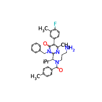 Cc1ccc(C(=O)N(CCCN)C(c2nc(C)c(-c3ccc(F)c(C)c3)c(=O)n2Cc2ccccc2)C(C)C)cc1